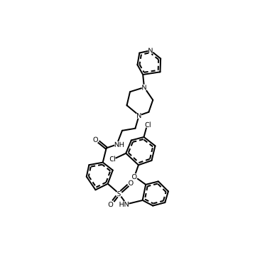 O=C(NCCN1CCN(c2ccncc2)CC1)c1cccc(S(=O)(=O)Nc2ccccc2Oc2ccc(Cl)cc2Cl)c1